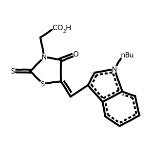 CCCCn1cc(/C=C2/SC(=S)N(CC(=O)O)C2=O)c2ccccc21